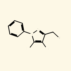 CC(C)Cc1nn(-c2ccccc2)c(C(C)(C)C)c1O